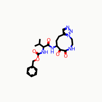 CC(C)C(NC(=O)OCc1ccccc1)C(=O)NC1CCc2cnnn2CCNC(=O)C1=O